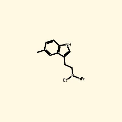 CCCN(CC)CCc1c[nH]c2ccc(C)cc12